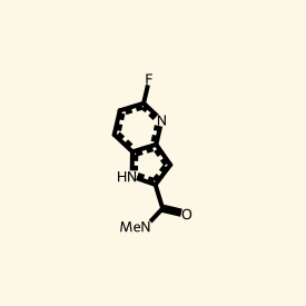 CNC(=O)c1cc2nc(F)ccc2[nH]1